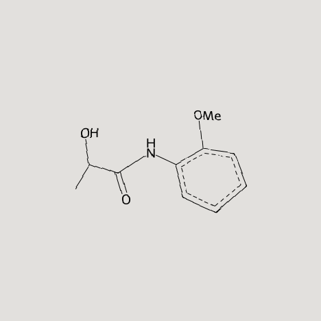 COc1ccccc1NC(=O)C(C)O